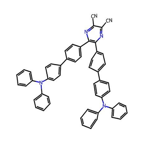 N#Cc1nc(-c2ccc(-c3ccc(N(c4ccccc4)c4ccccc4)cc3)cc2)c(-c2ccc(-c3ccc(N(c4ccccc4)c4ccccc4)cc3)cc2)nc1C#N